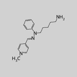 C[n+]1ccc(/C=N/N(CCCCCN)c2ccccc2)cc1